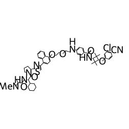 CN[C@@H](C)C(=O)N[C@H](C(=O)N1CCC[C@H]1c1nc(-c2ccc(OCCOCCNc3ccc(C(=O)N[C@H]4C(C)(C)[C@H](Oc5ccc(C#N)c(Cl)c5)C4(C)C)cc3)c3ccccc23)cs1)C1CCCCC1